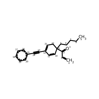 C=CC(=O)C1(CCCCC)C=CC(C#Cc2ccccc2)=CC1